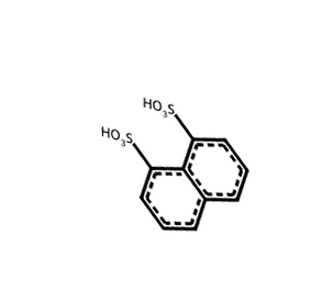 O=S(=O)(O)c1cccc2cccc(S(=O)(=O)O)c12